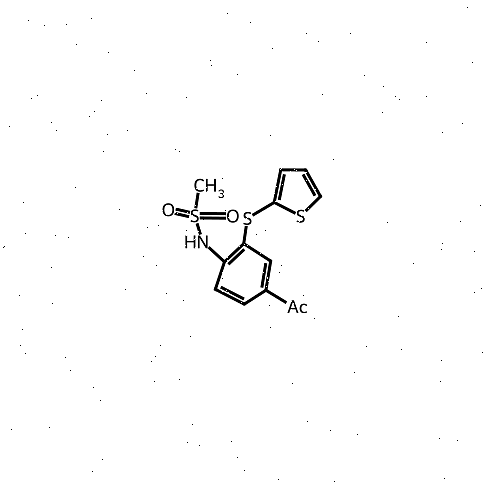 CC(=O)c1ccc(NS(C)(=O)=O)c(Sc2cccs2)c1